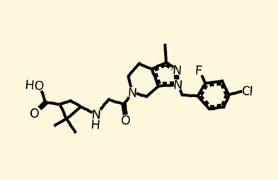 Cc1nn(Cc2ccc(Cl)cc2F)c2c1CCN(C(=O)CNC1CC(C(=O)O)C1(C)C)C2